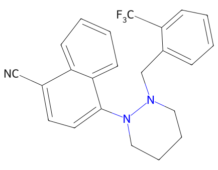 N#Cc1ccc(N2CCCCN2Cc2ccccc2C(F)(F)F)c2ccccc12